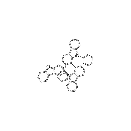 c1ccc(-c2ccc3c4ccccc4n(-c4ccccc4)c3c2-c2cccc3c4ccccc4n(-c4ccc5oc6ccccc6c5c4)c23)cc1